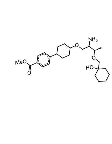 COC(=O)c1ccc(C2CCC(OC[C@@H](N)[C@@H](C)OCC3(O)CCCCC3)CC2)cc1